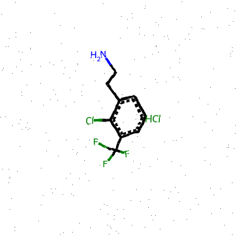 Cl.NCCc1cccc(C(F)(F)F)c1Cl